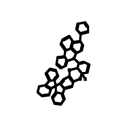 C1=C[C@@H]2Oc3cc4c(cc3OC2C(N(c2ccc(-c3ccccc3)cc2)c2ccccc2-c2ccccc2)=C1)C1(C2=C(CCC=C2)c2ccccc21)c1ccccc1-4